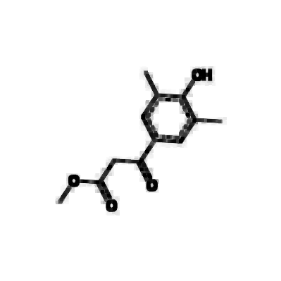 COC(=O)CC(=O)c1cc(C)c(O)c(C)c1